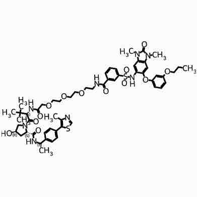 CCCOc1cccc(Oc2cc3c(cc2NS(=O)(=O)c2cccc(C(=O)NCCOCCOCCOCC(=O)N[C@H](C(=O)N4C[C@H](O)C[C@H]4C(=O)N[C@@H](C)c4ccc(-c5scnc5C)cc4)C(C)(C)C)c2)n(C)c(=O)n3C)c1